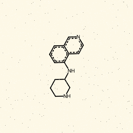 c1cc(NC2CCCNC2)c2ccncc2c1